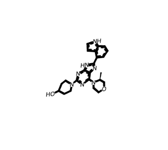 C[C@H]1COCCN1c1nc(N2CCC(O)CC2)nc2[nH]c(-c3cccc4[nH]ccc34)nc12